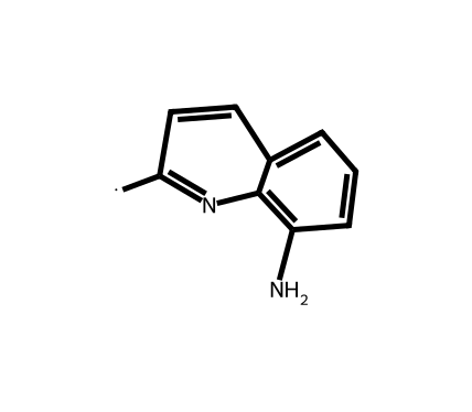 [CH2]c1ccc2cccc(N)c2n1